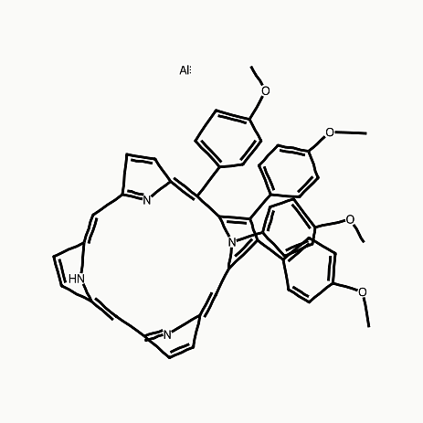 COc1ccc(-c2c(-c3ccc(OC)cc3)c3c(-c4ccc(OC)cc4)c4nc(cc5ccc(cc6nc(cc2n3-c2ccc(OC)cc2)C=C6)[nH]5)C=C4)cc1.[Al]